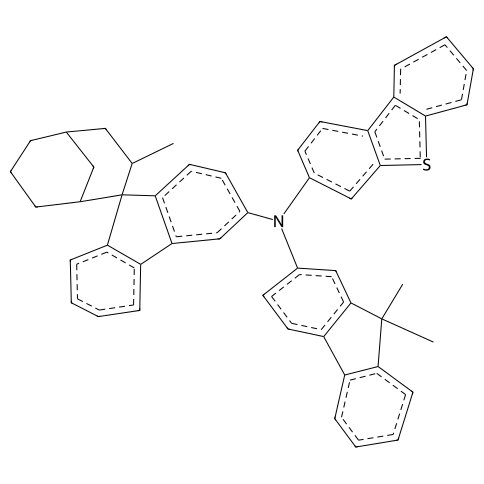 CC1CC2CCCC(C2)C12c1ccccc1-c1cc(N(c3ccc4c(c3)C(C)(C)c3ccccc3-4)c3ccc4c(c3)sc3ccccc34)ccc12